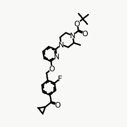 CC1CN(c2cccc(OCc3ccc(C(=O)C4CC4)cc3F)n2)CCN1C(=O)OC(C)(C)C